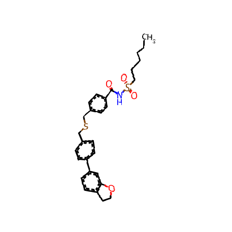 CCCCCCS(=O)(=O)NC(=O)c1ccc(CSCc2ccc(-c3ccc4c(c3)OCC4)cc2)cc1